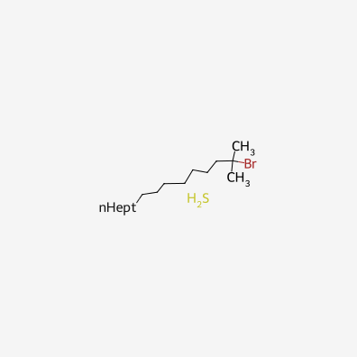 CCCCCCCCCCCCCCC(C)(C)Br.S